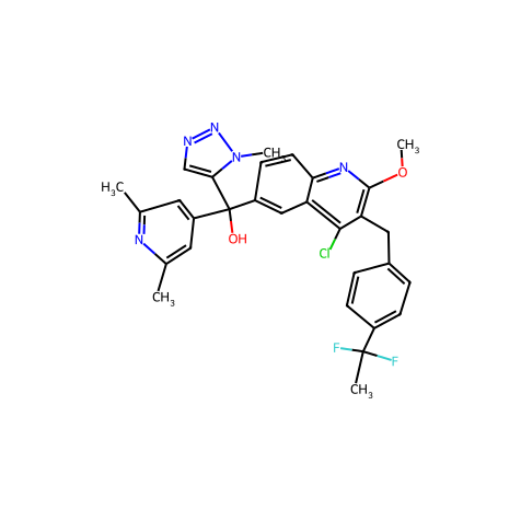 COc1nc2ccc(C(O)(c3cc(C)nc(C)c3)c3cnnn3C)cc2c(Cl)c1Cc1ccc(C(C)(F)F)cc1